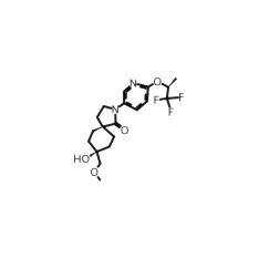 COC[C@]1(O)CC[C@]2(CCN(c3ccc(O[C@@H](C)C(F)(F)F)nc3)C2=O)CC1